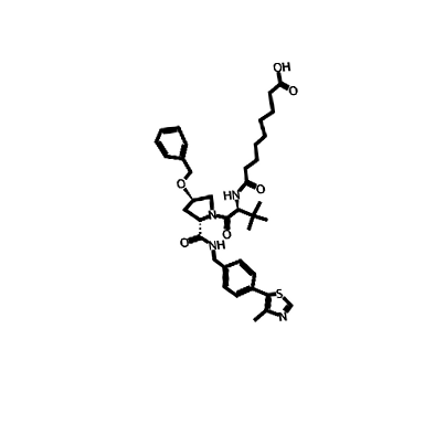 Cc1ncsc1-c1ccc(CNC(=O)[C@@H]2C[C@@H](OCc3ccccc3)CN2C(=O)[C@@H](NC(=O)CCCCCCCC(=O)O)C(C)(C)C)cc1